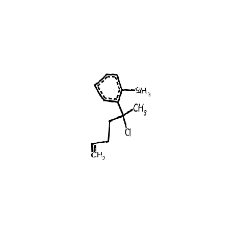 C=CCCC(C)(Cl)c1ccccc1[SiH3]